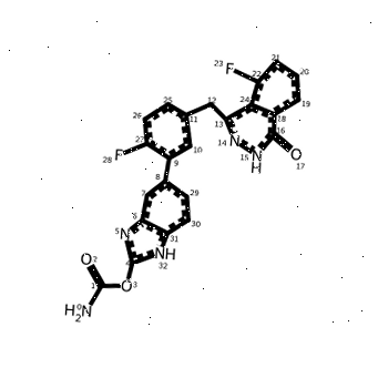 NC(=O)Oc1nc2cc(-c3cc(Cc4n[nH]c(=O)c5cccc(F)c45)ccc3F)ccc2[nH]1